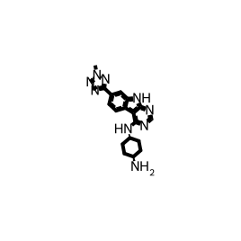 Cn1nnc(-c2ccc3c(c2)[nH]c2ncnc(N[C@H]4CC[C@H](N)CC4)c23)n1